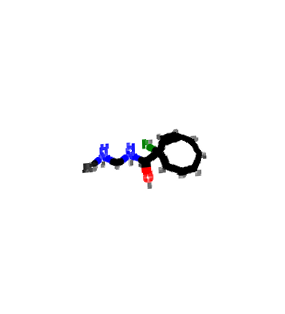 CCNCNC(=O)C1(F)C#CCCCCC1